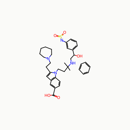 CC(C)(CCn1c(CCN2CCCCCC2)cc2cc(C(=O)O)ccc21)NCC(O)c1cccc(N=S(=O)=O)c1.c1ccccc1